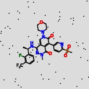 C[C@@H](Nc1nn(C)c(=O)c2c(-c3ccc(S(C)(=O)=O)nc3)c(=O)n(N3CCOCC3)cc12)c1cccc(C(F)(F)F)c1F